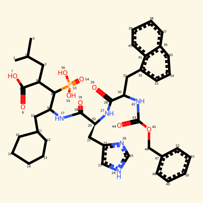 CC(C)CC(C(=O)O)C(C(CC1CCCCC1)NC(=O)[C@H](Cc1c[nH]cn1)NC(=O)C(Cc1cccc2ccccc12)NC(=O)OCc1ccccc1)P(=O)(O)O